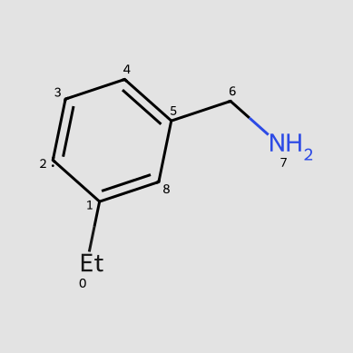 CCc1[c]ccc(CN)c1